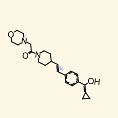 O=C(CN1CCOCC1)N1CCC(/C=C/c2ccc(C(O)=C3CC3)cc2)CC1